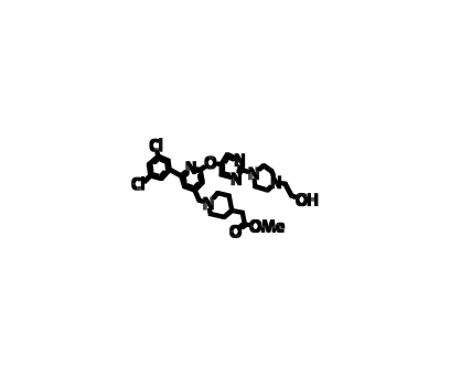 COC(=O)CC1CCN(Cc2cc(Oc3cnc(N4CCN(CCO)CC4)nc3)nc(-c3cc(Cl)cc(Cl)c3)c2)CC1